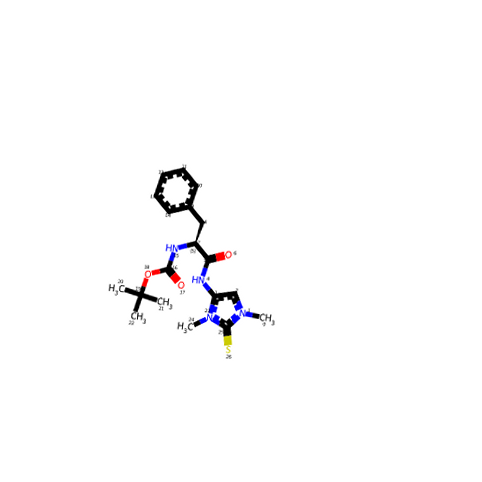 Cn1cc(NC(=O)[C@H](Cc2ccccc2)NC(=O)OC(C)(C)C)n(C)c1=S